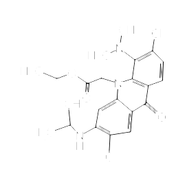 CCOC(=O)Cn1c2cc(NC(C)C)c(Cl)cc2c(=O)c2ccc(Cl)c(N(C)C)c21